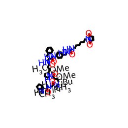 CC[C@H](C)[C@@H]([C@H](CC(=O)N1CCC[C@H]1[C@H](OC)[C@@H](C)C(=O)N[C@@H](Cc1ccccc1)C(=O)Nc1ccc(CNC(=O)NCCCCCCN2C(=O)C=CC2=O)cc1)OC)N(C)C(=O)[C@@H](NC(=O)[C@@H]1[C@H]2CC[C@H](C2)N1C)C(C)C